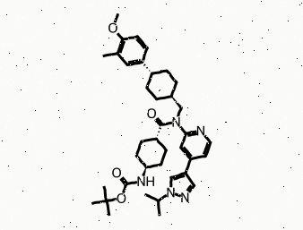 COc1ccc([C@H]2CC[C@H](CN(c3cc(-c4cnn(C(C)C)c4)ccn3)C(=O)[C@H]3CC[C@H](NC(=O)OC(C)(C)C)CC3)CC2)cc1C